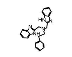 c1ccc(CCN(Cc2nc3ccccc3[nH]2)Cc2nc3ccccc3[nH]2)cc1